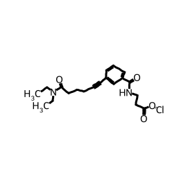 CCN(CC)C(=O)CCCC#Cc1cccc(C(=O)NCCC(=O)OCl)c1